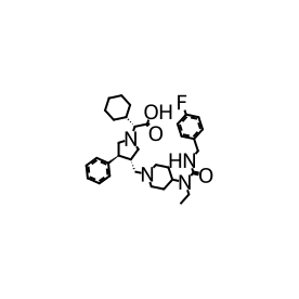 CCN(C(=O)NCc1ccc(F)cc1)C1CCN(C[C@H]2CN([C@@H](C(=O)O)C3CCCCC3)C[C@@H]2c2ccccc2)CC1